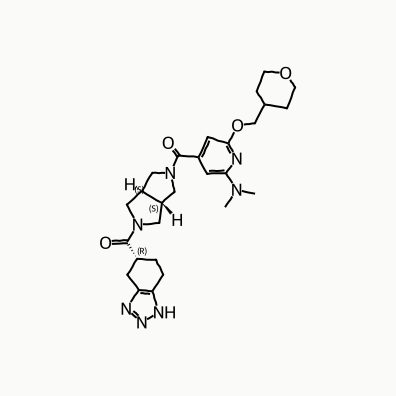 CN(C)c1cc(C(=O)N2C[C@@H]3CN(C(=O)[C@@H]4CCc5[nH]nnc5C4)C[C@H]3C2)cc(OCC2CCOCC2)n1